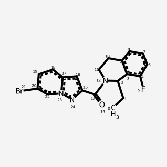 CCC1c2c(F)cccc2CCN1C(=O)c1cc2ccc(Br)cn2n1